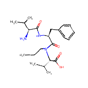 CCCN(C(=O)[C@H](Cc1ccccc1)NC(=O)[C@@H](N)C(C)C)[C@H](C(=O)O)C(C)C